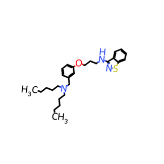 CCCCCN(CCCCC)Cc1cccc(OCCCNc2nsc3ccccc23)c1